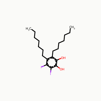 CCCCCCCc1c(O)c(O)c(I)c(I)c1CCCCCCC